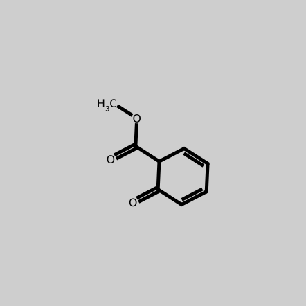 COC(=O)C1C=CC=CC1=O